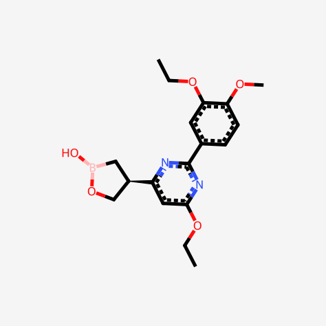 CCOc1cc([C@H]2COB(O)C2)nc(-c2ccc(OC)c(OCC)c2)n1